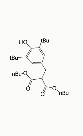 CCCCOC(=O)C(Cc1cc(C(C)(C)C)c(O)c(C(C)(C)C)c1)C(=O)OCCCC